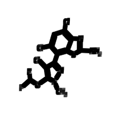 Cn1nc(-c2c(Cl)cc(Cl)c3nc(N)sc23)c(Cl)c1OC(F)F